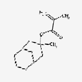 C=C(C)C(=O)OC1(C)CC2CCCC(C2)C1